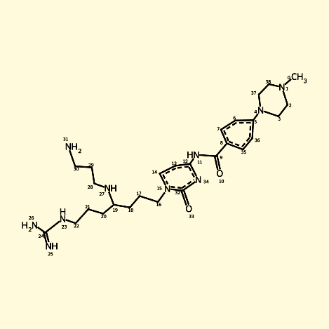 CN1CCN(c2ccc(C(=O)Nc3ccn(CCCC(CCCNC(=N)N)NCCCN)c(=O)n3)cc2)CC1